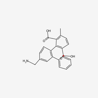 Cc1ccc(C(=O)O)c(-c2ccc(CN)cc2-c2ccccc2)c1C(=O)O